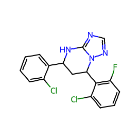 Fc1cccc(Cl)c1C1CC(c2ccccc2Cl)Nc2ncnn21